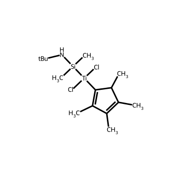 CC1=C(C)C(C)[C]([Ti]([Cl])([Cl])[Si](C)(C)NC(C)(C)C)=C1C